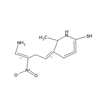 CC1NC(S)=C=C/C1=C/C/C(=C\N)[N+](=O)[O-]